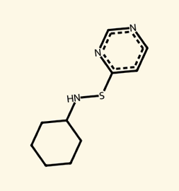 c1cc(SNC2CCCCC2)ncn1